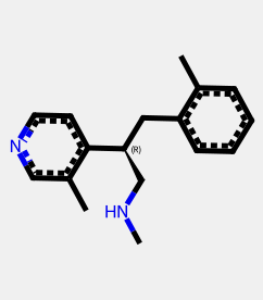 CNC[C@H](Cc1ccccc1C)c1ccncc1C